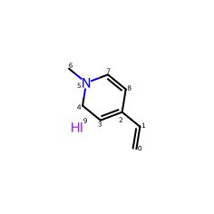 C=CC1=CCN(C)C=C1.I